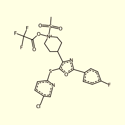 CS(=O)(=O)[N+]1(OC(=O)C(F)(F)F)CCC(c2nc(-c3ccc(F)cc3)oc2Sc2ccc(Cl)cn2)CC1